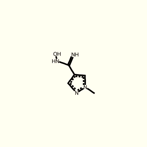 Cn1cc(C(=N)NO)cn1